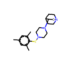 Cc1cc(C)c(SN2CCN(C3CN4CCC3CC4)CC2)c(C)c1